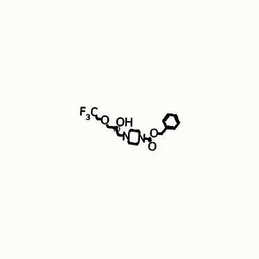 O=C(OCc1ccccc1)N1CCN(C[C@@H](O)COCC(F)(F)F)CC1